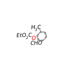 CCOC(=O)OC=O.Cc1ccccc1